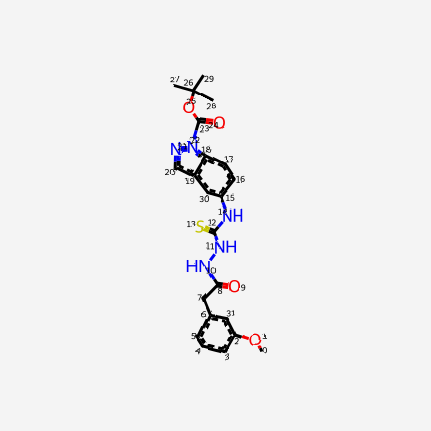 COc1cccc(CC(=O)NNC(=S)Nc2ccc3c(cnn3C(=O)OC(C)(C)C)c2)c1